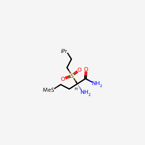 CSCC[C@](N)(C(N)=O)S(=O)(=O)CCC(C)C